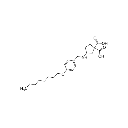 CCCCCCCCOc1ccc(CNC2CCC(C(=O)O)(C(=O)O)C2)cc1